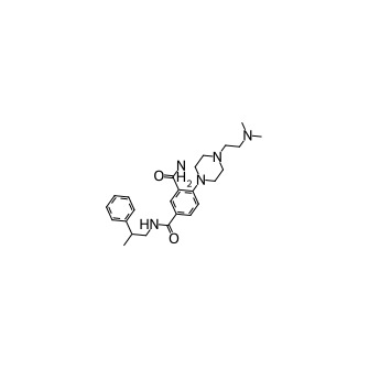 CC(CNC(=O)c1ccc(N2CCN(CCN(C)C)CC2)c(C(N)=O)c1)c1ccccc1